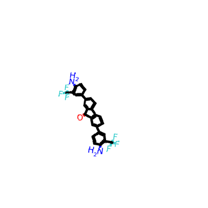 Nc1ccc(-c2ccc3c(c2)C(=O)c2cc(-c4ccc(N)c(C(F)(F)F)c4)ccc2-3)cc1C(F)(F)F